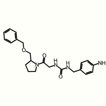 Nc1ccc(CNC(=O)NCC(=O)N2CCCC2COCc2ccccc2)cc1